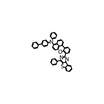 c1ccc(-c2ccc(N(c3ccccc3)c3ccc4c5c(cccc35)-c3cccc(-c5nc(-c6ccccc6)c6sc7ccccc7c6n5)c3O4)cc2)cc1